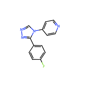 Fc1ccc(-c2nncn2-c2ccncc2)cc1